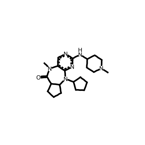 CN1CCC(Nc2ncc3c(n2)N(C2CCCC2)C2CCCC2C(=O)N3C)CC1